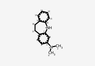 CN(C)c1ccc2c(c1)Nc1ccccc1CC2